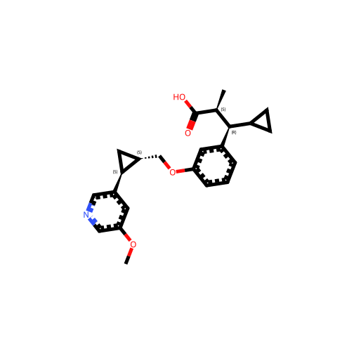 COc1cncc([C@H]2C[C@@H]2COc2cccc([C@H](C3CC3)[C@H](C)C(=O)O)c2)c1